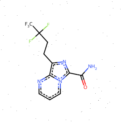 NC(=O)c1nc(CCC(F)(F)C(F)(F)F)c2ncccn12